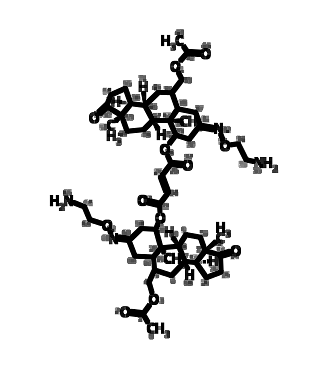 CC(=O)OCC1C[C@@H]2[C@@H](CC[C@]3(C)C(=O)CC[C@@H]23)[C@@]2(C)C(OC(=O)/C=C/C(=O)OC3CC(=NOCCN)CC4C(COC(C)=O)C[C@@H]5[C@@H](CC[C@]6(C)C(=O)CC[C@@H]56)[C@@]34C)CC(=NOCCN)CC12